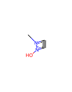 Cn1c#cn1O